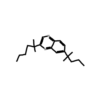 CCCCC(C)(C)c1cnc2ccc(C(C)(C)CCC)cc2n1